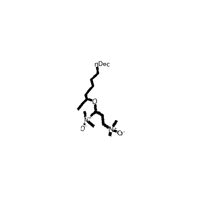 CCCCCCCCCCCCCCC(C)OC(CC[N+](C)(C)[O-])[N+](C)(C)[O-]